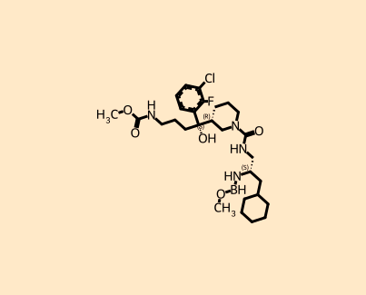 COBN[C@H](CNC(=O)N1CCC[C@@H]([C@@](O)(CCCNC(=O)OC)c2cccc(Cl)c2F)C1)CC1CCCCC1